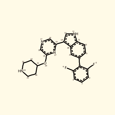 Fc1cccc(F)c1-c1ccc2[nH]cc(-c3cncc(OC4CCNCC4)n3)c2c1